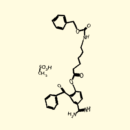 CS(=O)(=O)O.N=C(N)c1ccc(OC(=O)CCCCCNC(=O)OCc2ccccc2)c(C(=O)c2ccccc2)c1